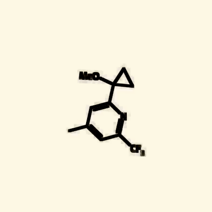 COC1(c2cc(C)cc(C(F)(F)F)n2)CC1